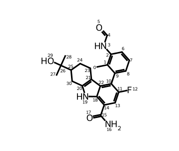 Cc1c(NC=O)cccc1-c1c(F)cc(C(N)=O)c2[nH]c3c(c12)CCC(C(C)(C)O)C3